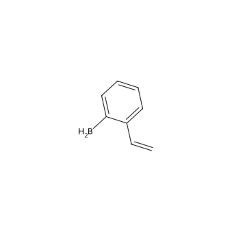 Bc1ccccc1C=C